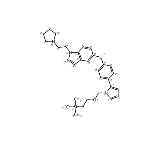 C[Si](C)(C)CCOCn1nccc1-c1ccc(Oc2ccc3c(cnn3CCN3CCCC3)c2)cc1